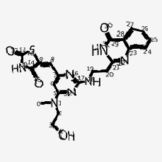 CN(CCO)c1cc(/C=C2/SC(=O)NC2=O)nc(NCCc2nc3ccccc3c(=O)[nH]2)n1